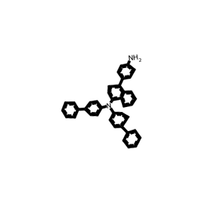 Nc1ccc(-c2ccc(N(c3ccc(-c4ccccc4)cc3)c3ccc(-c4ccccc4)cc3)c3ccccc23)cc1